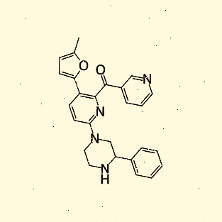 Cc1ccc(-c2ccc(N3CCNC(c4ccccc4)C3)nc2C(=O)c2cccnc2)o1